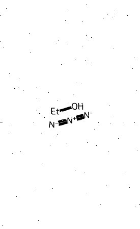 CCO.[N-]=[N+]=[N-]